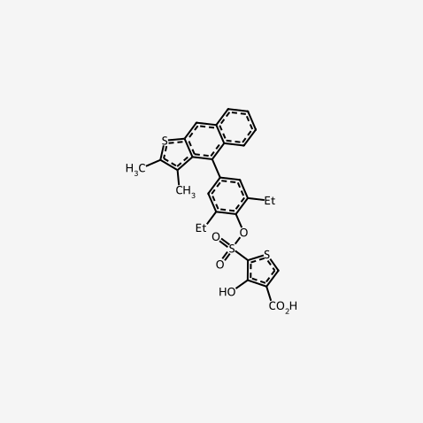 CCc1cc(-c2c3ccccc3cc3sc(C)c(C)c23)cc(CC)c1OS(=O)(=O)c1scc(C(=O)O)c1O